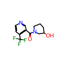 O=C(c1cnccc1C(F)(F)F)N1CCCC(O)C1